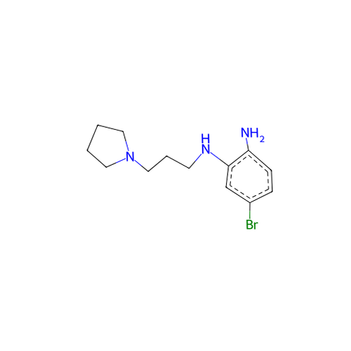 Nc1ccc(Br)cc1NCCCN1CCCC1